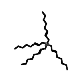 CCCCCC=C[CH2][Sn]([CH2]C=CCCCCC)([CH2]C=CCCCCC)[CH2]C=CCCCCC